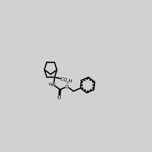 O=C(NC1(C(=O)O)CC2CCC1C2)OCc1ccccc1